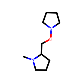 CN1CCCC1CON1CCCC1